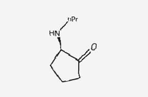 CCCN[C@@H]1CCCC1=O